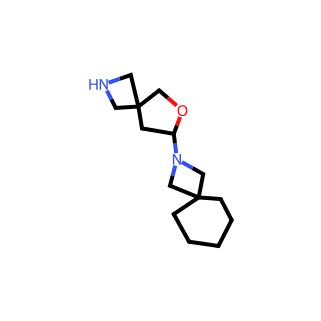 C1CCC2(CC1)CN(C1CC3(CNC3)CO1)C2